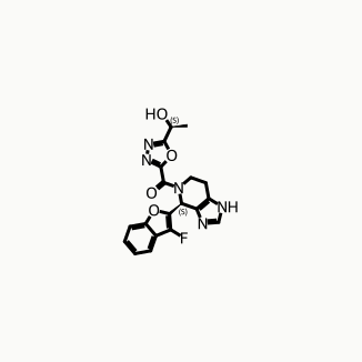 C[C@H](O)c1nnc(C(=O)N2CCc3[nH]cnc3[C@H]2c2oc3ccccc3c2F)o1